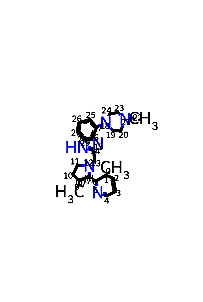 CC1C=CC=NC1[C@H]1[C@@H](C)CCN1Cc1nc2c(N3CCN(C)CC3)cccc2[nH]1